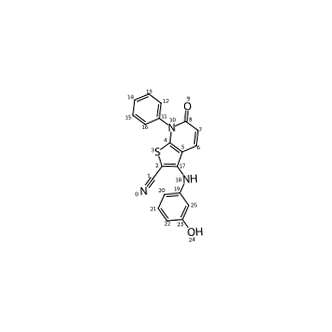 N#Cc1sc2c(ccc(=O)n2-c2ccccc2)c1Nc1cccc(O)c1